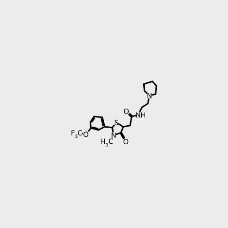 CN1C(=O)C(CC(=O)NCCN2CCCCC2)SC1c1cccc(OC(F)(F)F)c1